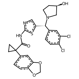 O=C(Nc1ncc([C@@H](c2ccc(Cl)c(Cl)c2)N2CC[C@@H](O)C2)s1)C1(c2ccc3c(c2)OCO3)CC1